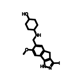 COc1cc2c(cc1CNC1CCC(O)CC1)Cc1c(I)n[nH]c1-2